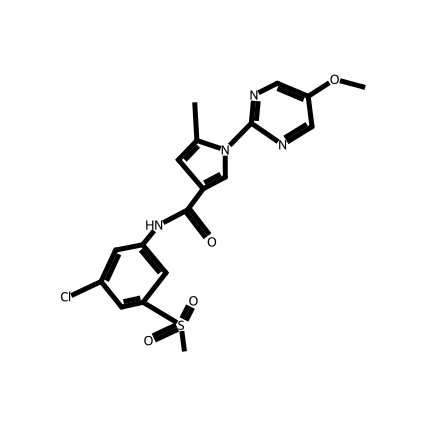 COc1cnc(-n2cc(C(=O)Nc3cc(Cl)cc(S(C)(=O)=O)c3)cc2C)nc1